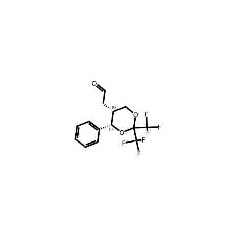 O=CC[C@@H]1COC(C(F)(F)F)(C(F)(F)F)O[C@@H]1c1ccccc1